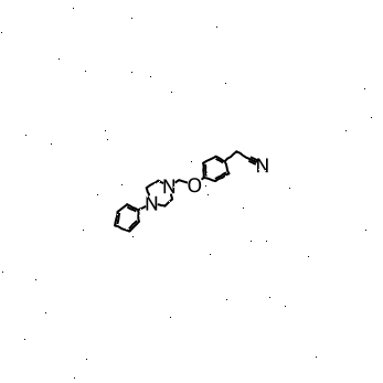 N#CCc1ccc(OCN2CCN(c3ccccc3)CC2)cc1